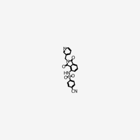 N#Cc1ccc(S(=O)(=O)Nc2cccc3c2C(=O)N(Cc2cccnc2)C3=O)cc1